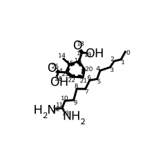 CCCCCCCCCCCC(N)N.Cc1c(C(=O)O)cccc1C(=O)O